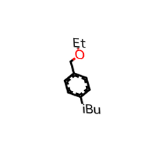 CCOCc1ccc(C(C)CC)cc1